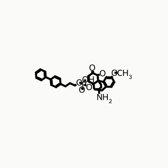 COc1ccc2c3c1OC1C(=O)CCC4(OP(=O)(O)OCCCc5ccc(-c6ccccc6)cc5)C(C2)C(N)CCC314